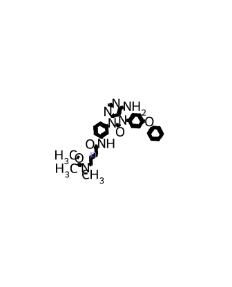 COC(C)N(C)C/C=C/C(=O)Nc1cccc(-n2c(=O)n(-c3ccc(Oc4ccccc4)cc3)c3c(N)ncnc32)c1